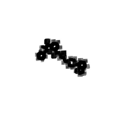 Cc1c(-c2ccccc2)oc2c(C(=O)NCCCN3CCN(c4cccc5ccoc45)CC3)cccc2c1=O